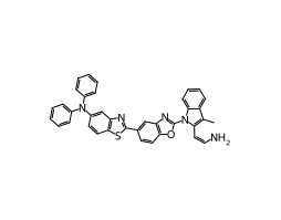 Cc1c(/C=C\N)n(-c2nc3cc(-c4nc5cc(N(c6ccccc6)c6ccccc6)ccc5s4)ccc3o2)c2ccccc12